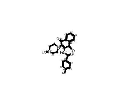 CCN1CCN(C2=C(NC(=O)c3ccc(C)cc3)C(=O)c3ccccc3C2=O)CC1